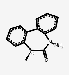 C[C@@H]1C(=O)N(N)c2ccccc2-c2ccccc21